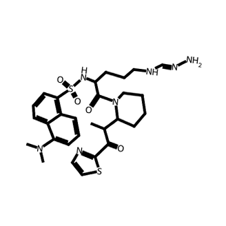 CC(C(=O)c1nccs1)C1CCCCN1C(=O)C(CCCNC=NN)NS(=O)(=O)c1cccc2c(N(C)C)cccc12